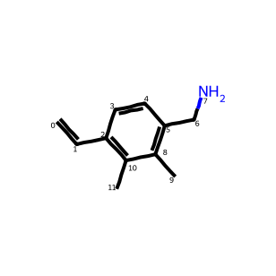 C=Cc1ccc(CN)c(C)c1C